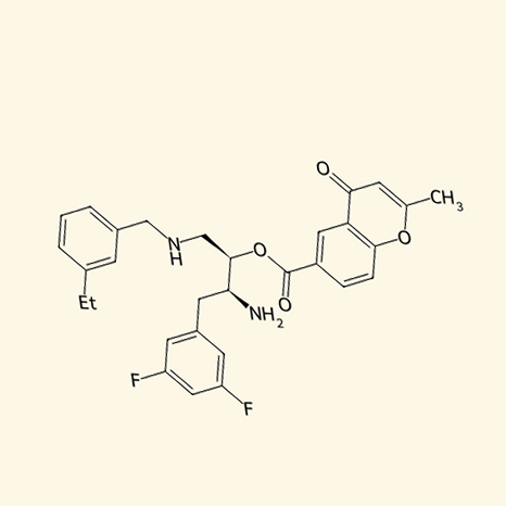 CCc1cccc(CNC[C@@H](OC(=O)c2ccc3oc(C)cc(=O)c3c2)[C@@H](N)Cc2cc(F)cc(F)c2)c1